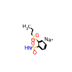 CCCS(=O)(=O)c1ccccc1S([NH-])(=O)=O.[Na+]